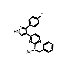 CC(=O)N(Cc1ccccc1)c1nccc(-c2c[nH]nc2-c2ccc(F)cc2)n1